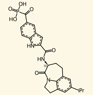 CC(C)c1cc2c3c(c1)CCN3C(=O)[C@@H](NC(=O)c1cc3cc(C(=O)P(=O)(O)O)ccc3[nH]1)CC2